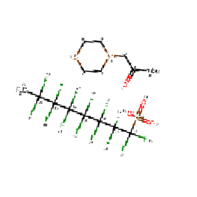 CCCCC(=O)C[S+]1CCSCC1.O=S(=O)([O-])C(F)(F)C(F)(F)C(F)(F)C(F)(F)C(F)(F)C(F)(F)C(F)(F)C(F)(F)F